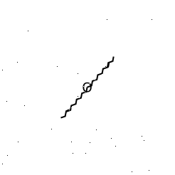 CCC=CCCCCCCOCCCCCCC=CCC